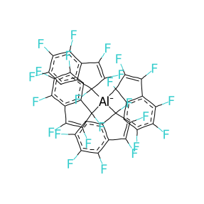 FC1=C(F)[C](F)([Al-]([C]2(F)C(F)=C(F)c3c2cc(F)c(F)c3F)([C]2(F)C(F)=C(F)c3c2cc(F)c(F)c3F)[C]2(F)C(F)=C(F)c3c2cc(F)c(F)c3F)c2cc(F)c(F)c(F)c21